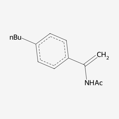 C=C(NC(C)=O)c1ccc(CCCC)cc1